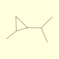 CC(C)[C]1CC1C